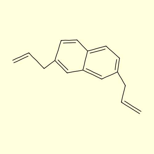 C=CCc1ccc2ccc(CC=C)cc2c1